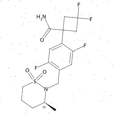 C[C@H]1CCCS(=O)(=O)N1Cc1cc(F)c(C2(C(N)=O)CC(F)(F)C2)cc1F